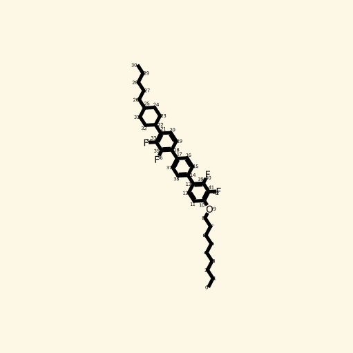 CCCCCCCCCOc1ccc(-c2ccc(-c3ccc(C4CCC(CCCCC)CC4)c(F)c3F)cc2)c(F)c1F